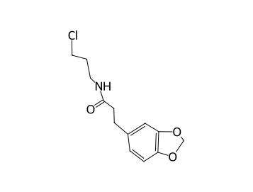 O=C(CCc1ccc2c(c1)OCO2)NCCCCl